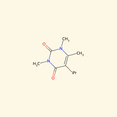 Cc1c(C(C)C)c(=O)n(C)c(=O)n1C